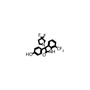 O=C1Nc2c(C(F)(F)F)cccc2[C@@]1(c1ccc(O)cc1)N1CCC(F)(F)C1